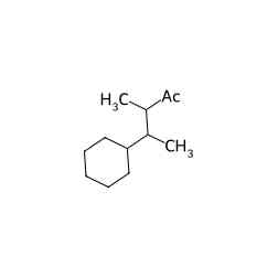 CC(=O)C(C)C(C)C1CCCCC1